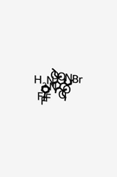 CCOC(=O)C1=C(C)N(c2cccc(C(F)(F)F)c2)C(N)=C(C(=O)OCC)C1c1ccc(Br)nc1